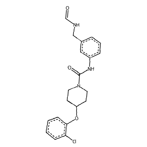 O=CNCc1cccc(NC(=O)N2CCC(Oc3ccccc3Cl)CC2)c1